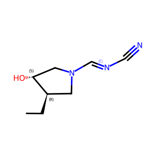 CC[C@@H]1CN(/C=N/C#N)C[C@H]1O